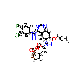 CCOc1cc2ncnc(Nc3ccc(F)c(Cl)c3)c2cc1NC(=O)CC1CCSS1(=O)=O